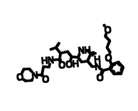 COCCCCOc1ccccc1C(=O)NCC(CC(N)C(O)CC(C(=O)NCCC(=O)N1CCOCC1)C(C)C)C(C)C